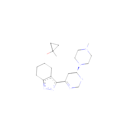 CCN1CCN([C@@H]2CC(c3n[nH]c4c3C[C@@H](OC3(C)CC3)CC4)=NCN2)CC1